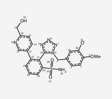 COc1ccc(Cn2nnnc2-c2c(-c3ccc(CO)nc3)cccc2S(N)(=O)=O)cc1Cl